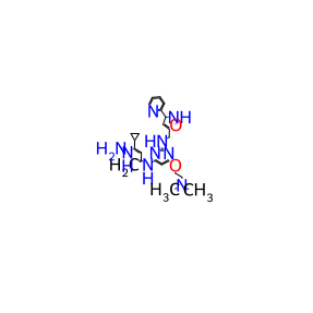 C=C(/C=C(\NN)C1CC1)Nc1cc(OCCN(C)C)nc(NCC2=CC(c3ccccn3)NO2)n1